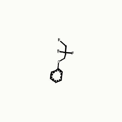 FCC(F)(F)COc1cc[c]cc1